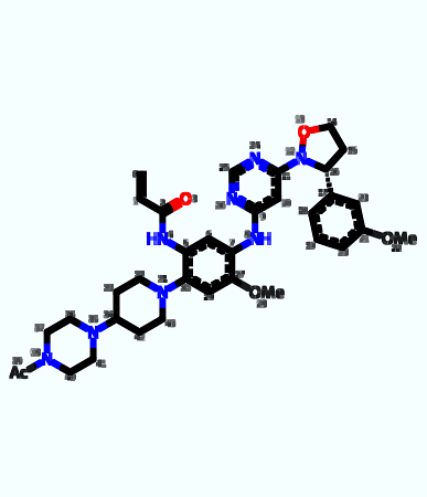 C=CC(=O)Nc1cc(Nc2cc(N3OCC[C@@H]3c3cccc(OC)c3)ncn2)c(OC)cc1N1CCC(N2CCN(C(C)=O)CC2)CC1